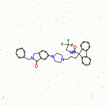 O=C1c2cc(N3CCN(CCCC4(C(=O)NCC(F)(F)F)c5ccccc5-c5ccccc54)CC3)ccc2CN1Cc1ccccc1